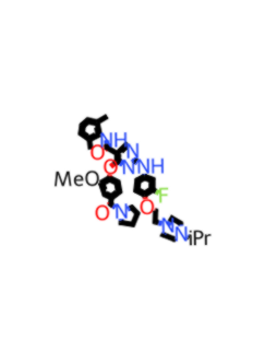 COc1cc(C(=O)N2CCCC2)ccc1Oc1nc(Nc2ccc(OCCN3CCN(C(C)C)CC3)c(F)c2)ncc1C(=O)Nc1c(C)cccc1C